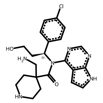 NCC1(C(=O)N(c2ncnc3[nH]ccc23)[C@@H](CCO)c2ccc(Cl)cc2)CCNCC1